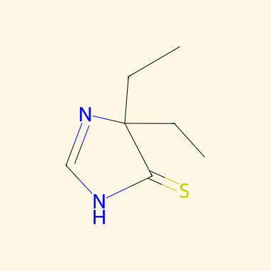 CCC1(CC)N=CNC1=S